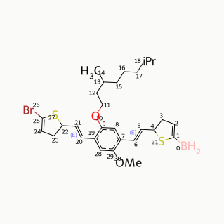 BC1=CCC(/C=C/c2cc(OCCC(C)CCCC(C)C)c(/C=C/C3CC=C(Br)S3)cc2OC)S1